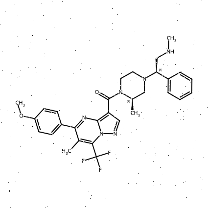 CNC[C@@H](c1ccccc1)N1CCN(C(=O)c2cnn3c(C(F)(F)F)c(C)c(-c4ccc(OC)cc4)nc23)[C@H](C)C1